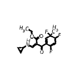 CCOC(=O)C(=CNC1CC1)C(=O)C1=CC(C)(F)C(F)C=C1F